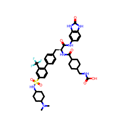 CN(C)C1CCC(NS(=O)(=O)c2ccc(-c3ccc(C[C@H](NC(=O)C4CCC(CNC(=O)O)CC4)C(=O)Nc4ccc5[nH]c(=O)[nH]c5c4)cc3)c(C(F)(F)F)c2)CC1